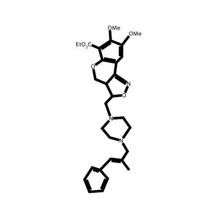 CCOC(=O)c1c(OC)c(OC)cc2c1OCC1C2=NOC1CN1CCN(CC(C)=Cc2ccccc2)CC1